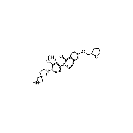 COc1cc(-n2ccc3cc(OCC4CCCO4)ccc3c2=O)ccc1N1CCC2(CNC2)C1